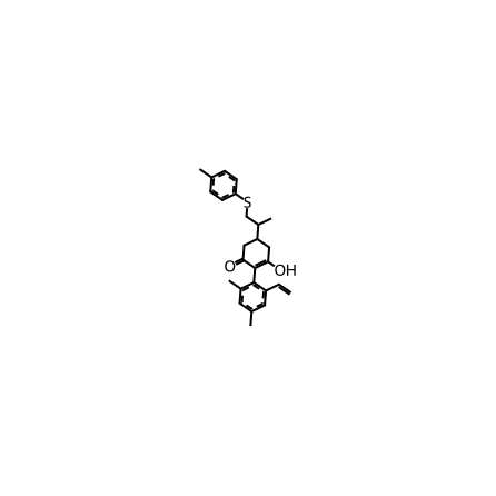 C=Cc1cc(C)cc(C)c1C1=C(O)CC(C(C)CSc2ccc(C)cc2)CC1=O